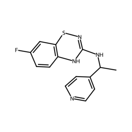 CC(NC1=NSc2cc(F)ccc2N1)c1ccncc1